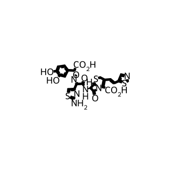 Nc1nc(/C(=N/OC(C(=O)O)c2ccc(O)c(O)c2)C(=O)N[C@@H]2C(=O)N3C(C(=O)O)=C(C=Cc4cncs4)CS[C@@H]23)cs1